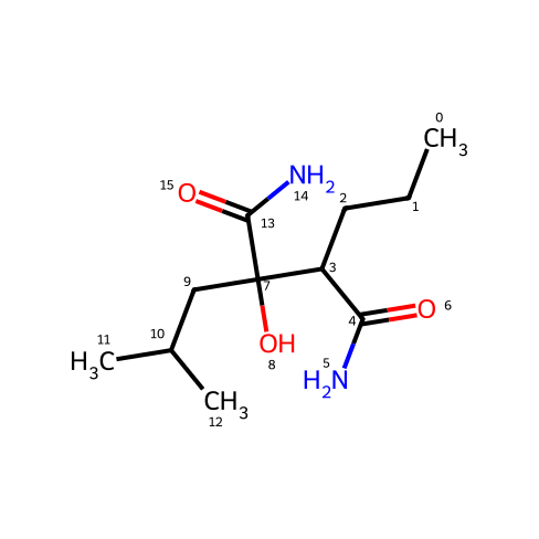 CCCC(C(N)=O)C(O)(CC(C)C)C(N)=O